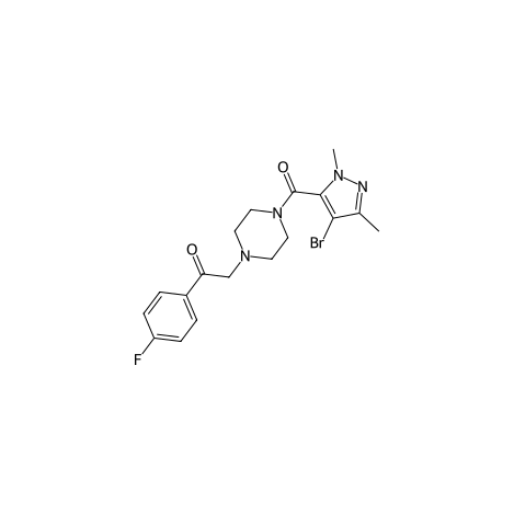 Cc1nn(C)c(C(=O)N2CCN(CC(=O)c3ccc(F)cc3)CC2)c1Br